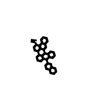 N#Cc1ccc(-c2cccc3c(-c4ccc5ccccc5c4)c4ccccc4c(-c4ccc5ccccc5c4)c23)cc1